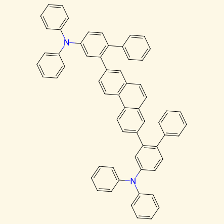 c1ccc(-c2ccc(N(c3ccccc3)c3ccccc3)cc2-c2ccc3c(ccc4cc(-c5cc(N(c6ccccc6)c6ccccc6)ccc5-c5ccccc5)ccc43)c2)cc1